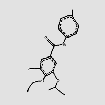 CCOc1c(I)cc(C(=O)Nc2ccc(C)cc2)cc1OC(C)C